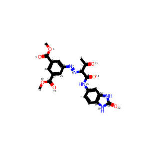 COC(=O)c1cc(N=NC(C(C)=O)C(=O)Nc2ccc3[nH]c(=O)[nH]c3c2)cc(C(=O)OC)c1